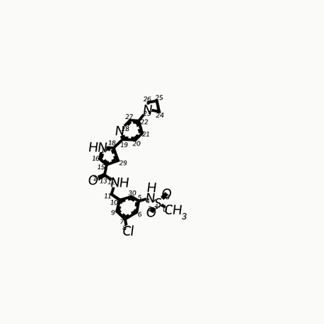 CS(=O)(=O)Nc1cc(Cl)cc(CNC(=O)c2c[nH]c(-c3ccc(N4CCC4)cn3)c2)c1